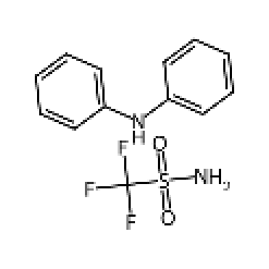 NS(=O)(=O)C(F)(F)F.c1ccc(Nc2ccccc2)cc1